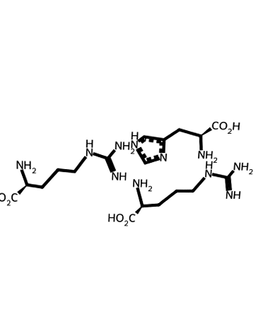 N=C(N)NCCC[C@H](N)C(=O)O.N=C(N)NCCC[C@H](N)C(=O)O.N[C@@H](Cc1c[nH]cn1)C(=O)O